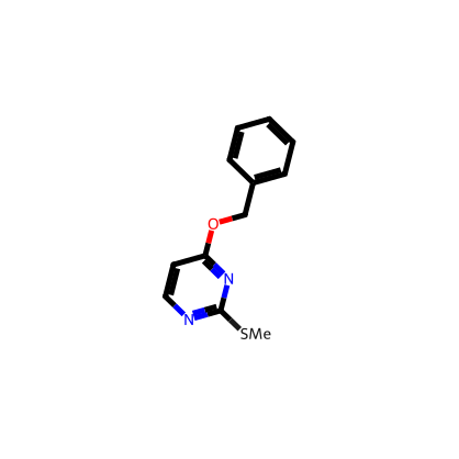 CSc1nccc(OCc2ccccc2)n1